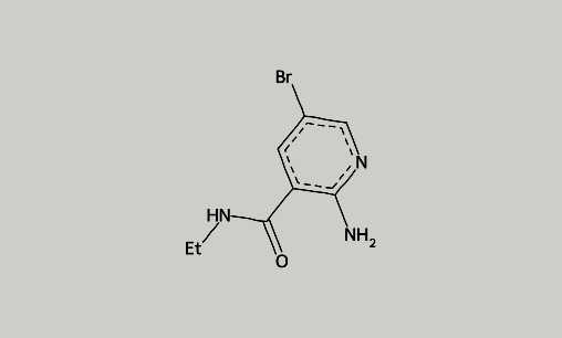 CCNC(=O)c1cc(Br)cnc1N